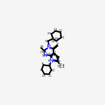 C=C1c2cc(CC)n(C3CCCCC3)c2N=C(C)N1CC1CCCCC1